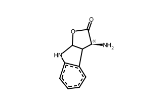 N[C@@H]1C(=O)OC2Nc3ccccc3C21